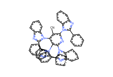 N#Cc1c(-n2c(-c3ccccc3)nc3ccccc32)nc(-n2c(-c3ccccc3)nc3ccccc32)c(-n2c(-c3ccccc3)nc3ccccc32)c1-n1c(-c2ccccc2)nc2ccccc21